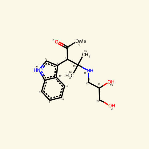 COC(=O)C(c1c[nH]c2ccccc12)C(C)(C)NCC(O)CO